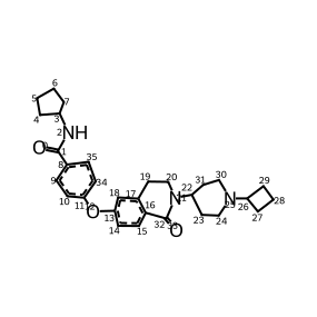 O=C(NC1CCCC1)c1ccc(Oc2ccc3c(c2)CCN(C2CCN(C4CCC4)CC2)C3=O)cc1